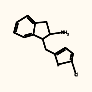 NC1Cc2ccccc2C1Cc1ccc(Cl)s1